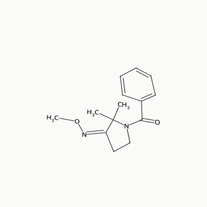 CON=C1CCN(C(=O)c2ccccc2)C1(C)C